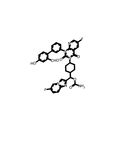 NC(=O)OC(c1cn2cc(F)ccc2n1)C1CCC(n2c(=O)c3cc(F)cnc3n(-c3cccc(-c4ccc(O)cc4C=O)c3)c2=O)CC1